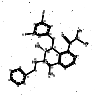 CCCN(CCC)C(=O)c1nccc(C(N)=O)c1[C@H](Cc1cc(F)cc(F)c1)[C@@H](O)CNCc1ccccc1